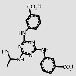 CC(N)Nc1nc(Nc2cccc(C(=O)O)c2)nc(Nc2cccc(C(=O)O)c2)n1